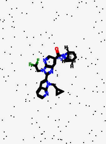 N[C@@H]1[C@@H]2CC[C@H]1N(C(=O)c1cnc3c(c1)nc(-c1cc4cccnc4n1CC1CC1)n3CC(F)F)C2